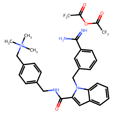 C[N+](C)(C)Cc1ccc(CNC(=O)c2cc3ccccc3n2Cc2cccc(C(=N)N)c2)cc1.O=C(OC(=O)C(F)(F)F)C(F)(F)F